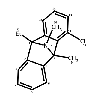 CCC12c3ccccc3C(C)(c3c(Cl)cccc31)N2C